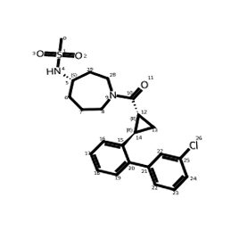 CS(=O)(=O)N[C@H]1CCCN(C(=O)[C@@H]2C[C@H]2c2ccccc2-c2cccc(Cl)c2)CC1